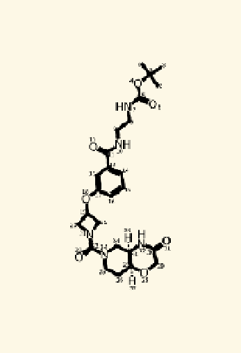 CC(C)(C)OC(=O)NCCNC(=O)c1cccc(OC2CN(C(=O)N3CC[C@@H]4OCC(=O)N[C@@H]4C3)C2)c1